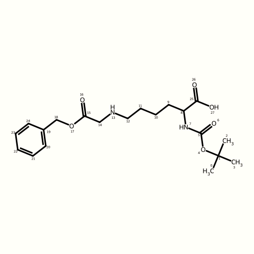 CC(C)(C)OC(=O)NC(CCCCNCC(=O)OCc1ccccc1)C(=O)O